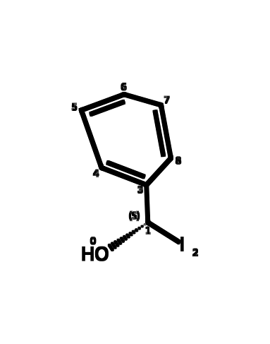 O[C@@H](I)c1ccccc1